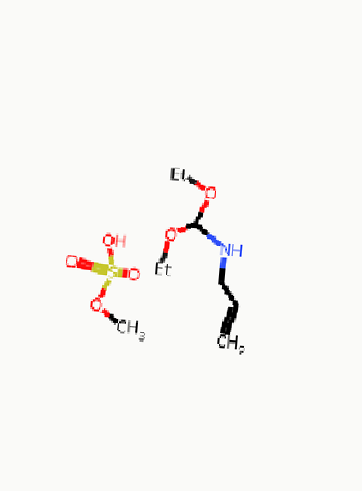 C=CCNC(OCC)OCC.COS(=O)(=O)O